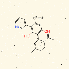 C=C(C)[C@@H]1CCC(C)=C[C@H]1c1c(O)cc(CCCCC)c(-c2cccnc2)c1O